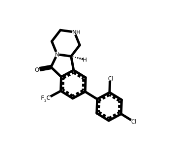 O=C1c2c(cc(-c3ccc(Cl)cc3Cl)cc2C(F)(F)F)[C@@H]2CNCCN12